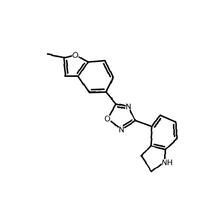 Cc1cc2cc(-c3nc(-c4cccc5c4CCN5)no3)ccc2o1